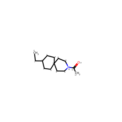 CCC1CCC2(CC1)CCN(C(C)=O)CC2